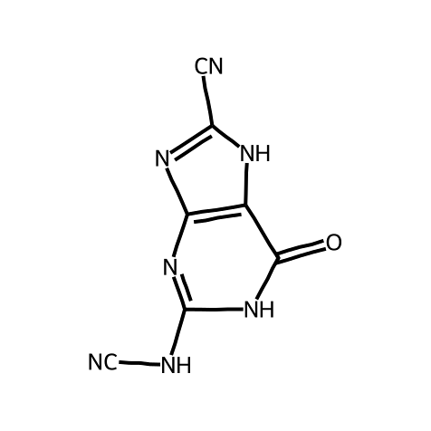 N#CNc1nc2nc(C#N)[nH]c2c(=O)[nH]1